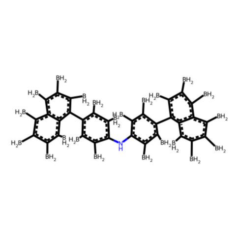 Bc1c(B)c(-c2c(B)c(B)c(B)c3c(B)c(B)c(B)c(B)c23)c(B)c(B)c1Nc1c(B)c(B)c(-c2c(B)c(B)c(B)c3c(B)c(B)c(B)c(B)c23)c(B)c1B